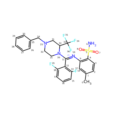 Cc1ccc(S(N)(=O)=O)c(/N=C(\c2c(F)cccc2F)N2CCN(Cc3ccccc3)CC2C(F)(F)F)c1